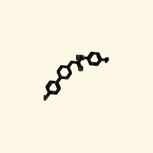 O=C(CC1CCC(c2ccc(F)cc2)CC1)Nc1ccc(F)cc1